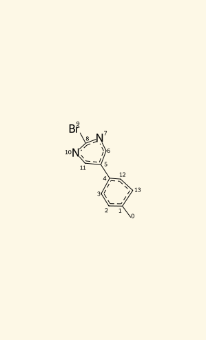 Cc1ccc(-c2cnc(Br)nc2)cc1